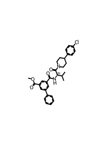 COC(=O)c1cc(C(=O)N[C@@H](C(=O)N2CCC(c3ccc(Cl)cc3)CC2)C(C)C)cc(-c2ccccc2)c1